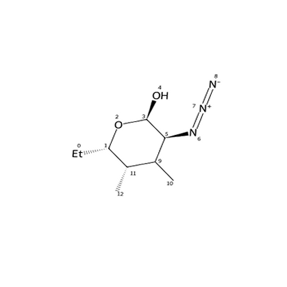 CC[C@@H]1O[C@@H](O)[C@@H](N=[N+]=[N-])C(C)[C@@H]1C